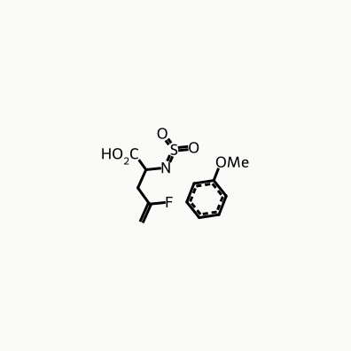 C=C(F)CC(N=S(=O)=O)C(=O)O.COc1ccccc1